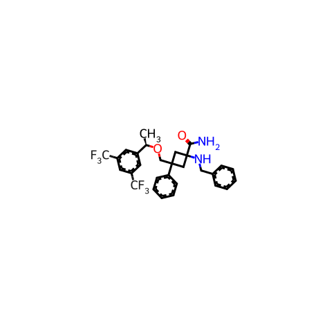 C[C@@H](OCC1(c2ccccc2)CC(NCc2ccccc2)(C(N)=O)C1)c1cc(C(F)(F)F)cc(C(F)(F)F)c1